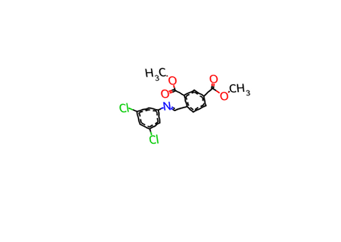 COC(=O)c1ccc(C=Nc2cc(Cl)cc(Cl)c2)c(C(=O)OC)c1